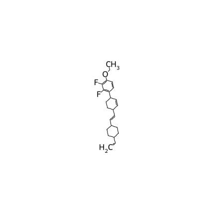 C=CC1CCC(/C=C/C2C=CC(c3ccc(OCC)c(F)c3F)CC2)CC1